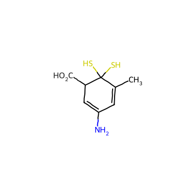 CC1=CC(N)=CC(C(=O)O)C1(S)S